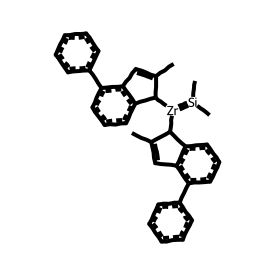 CC1=Cc2c(-c3ccccc3)cccc2[CH]1[Zr]([CH]1C(C)=Cc2c(-c3ccccc3)cccc21)=[Si](C)C